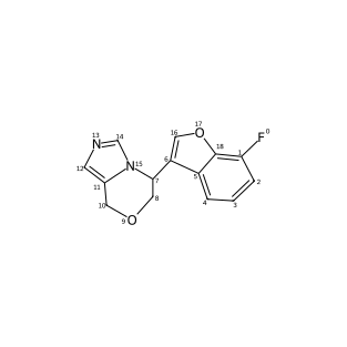 Fc1cccc2c(C3COCc4cncn43)coc12